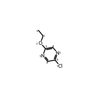 CCOc1cnc(Cl)cn1